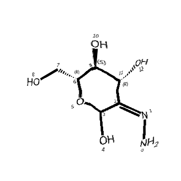 NN=C1C(O)O[C@H](CO)[C@@H](O)[C@@H]1O